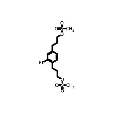 CCc1cc(CCCOS(C)(=O)=O)ccc1CCCOS(C)(=O)=O